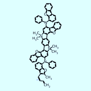 C=C/C=C\c1c(C)oc2c(N(c3ccccc3)c3cc4c(c5oc6ccccc6c35)-c3cc5c(cc3[Si]4(C)C)-c3c(cc(N(c4ccccc4)c4cccc6c4oc4ccccc46)c4c3oc3ccccc34)[Si]5(C)C)cccc12